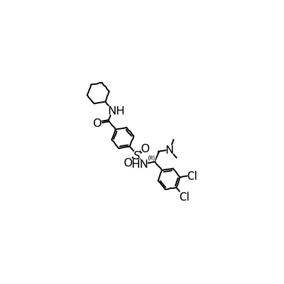 CN(C)C[C@H](NS(=O)(=O)c1ccc(C(=O)NC2CCCCC2)cc1)c1ccc(Cl)c(Cl)c1